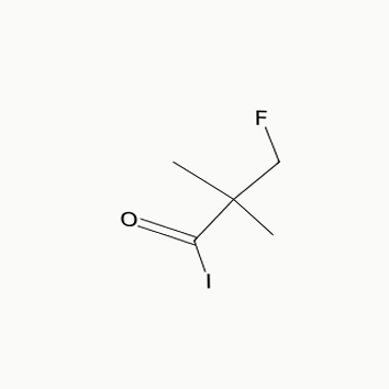 CC(C)(CF)C(=O)I